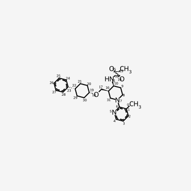 Cc1cccnc1N1CC[C@H](NS(C)(=O)=O)[C@H](CO[C@H]2CC[C@@H](c3ccccc3)CC2)C1